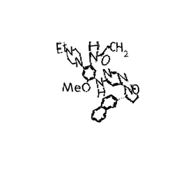 C=CC(=O)Nc1cc(Nc2cc(N3OCC[C@@H]3c3ccc4ccccc4c3)ncn2)c(OC)cc1N1CCN(CC)CC1